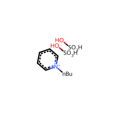 CCCC[n+]1ccccc1.O=S(=O)(O)O.O=S(=O)(O)O